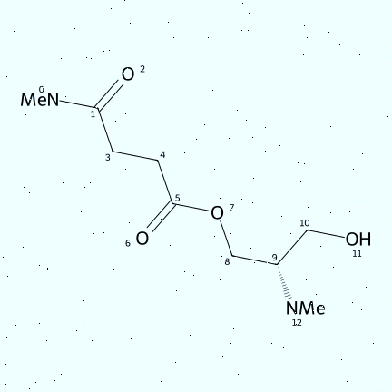 CNC(=O)CCC(=O)OC[C@H](CO)NC